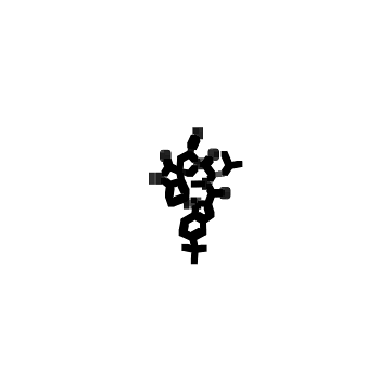 CC(C)C[C@@H](C(=O)N1C[C@]2(C[C@H]1C#N)C(=O)Nc1ccccc12)N(C)C(=O)c1cc2cc(C(C)(C)C)ccc2[nH]1